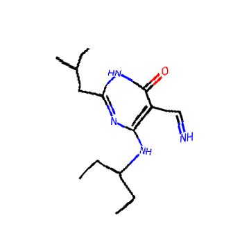 CCC(CC)Nc1nc(CC(C)C)[nH]c(=O)c1C=N